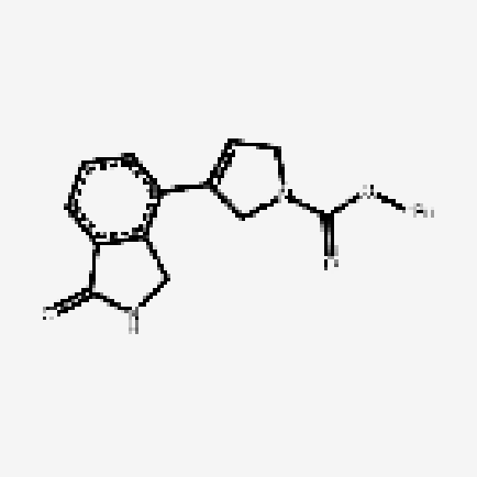 CC(C)(C)OC(=O)N1CC=C(c2cccc3c2CNC3=O)C1